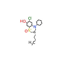 CCCC[C@H]1CN(c2ccccc2)c2cc(Cl)c(O)cc2[S+]([O-])C1